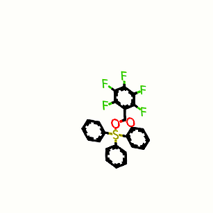 O=C(OS(c1ccccc1)(c1ccccc1)c1ccccc1)c1c(F)c(F)c(F)c(F)c1F